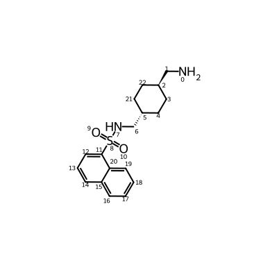 NC[C@H]1CC[C@H](CNS(=O)(=O)c2cccc3ccccc23)CC1